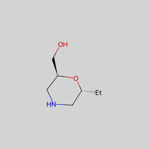 CC[C@@H]1CNC[C@@H](CO)O1